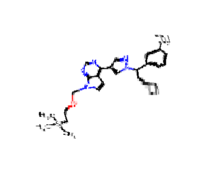 C[Si](C)(C)CCOCn1ccc2c(-c3cnn(C(CC#N)c4cccc(C(=O)O)c4)c3)ncnc21